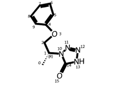 C[C@H](COc1ccccc1)n1nn[nH]c1=O